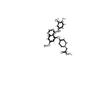 COc1cc(OC2CCN(CC(N)=O)CC2)c2c(Nc3ccc(F)c(Cl)c3)ncnc2c1